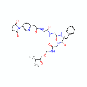 CC(C)C(=O)COCNC(=O)CNC(=O)[C@H](Cc1ccccc1)NC(=O)CNC(=O)CNC(=O)Cc1ccc(N2C(=O)C=CC2=O)cn1